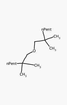 CCCCCC(C)(C)COCC(C)(C)CCCCC